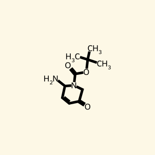 CC(C)(C)OC(=O)N1CC(=O)C=CC1N